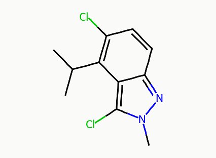 CC(C)c1c(Cl)ccc2nn(C)c(Cl)c12